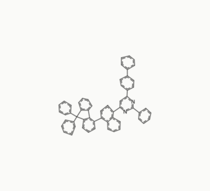 c1ccc(-c2ccc(-c3cc(-c4ccc(-c5cccc6c5-c5ccccc5C6(c5ccccc5)c5ccccc5)c5ccccc45)nc(-c4ccccc4)n3)cc2)cc1